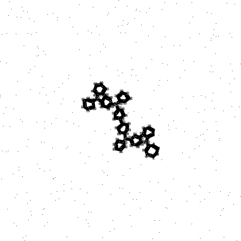 C1=CCC=CC(n2c3ccccc3c3cc(N(c4ccccc4)C4C=CC(c5ccc(N(c6ccccc6)c6ccc7c(c6)c6ccccc6n7-c6ccccc6)cc5)=CC4)ccc32)=C1